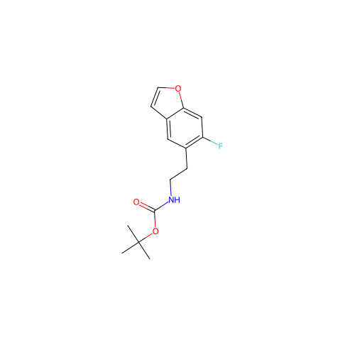 CC(C)(C)OC(=O)NCCc1cc2ccoc2cc1F